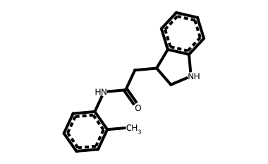 Cc1ccccc1NC(=O)CC1CNc2ccccc21